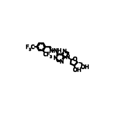 OC[C@H]1O[C@@H](n2cnc3c(N/N=C/c4ccc(C(F)(F)F)cc4C(F)(F)F)ncnc32)CC1O